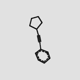 C(#CC1CCCC1)c1ccccc1